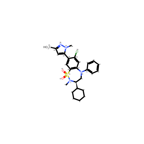 CN1[C@H](C2CCCCC2)CN(c2ccccc2)c2cc(Cl)c(-c3cc(C(=O)O)nn3C)cc2S1(=O)=O